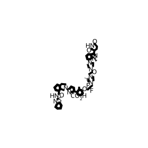 Cc1c(OCC(F)(F)CN2CCN(CC(=O)N3CCN(c4cccc5c(C6CCC(=O)NC6=O)nn(C)c45)CC3)[C@@H](C)C2)cccc1-c1ccc(N2CCc3cccc(C(=O)Nc4nc5ccccc5s4)c3C2)nc1C(=O)O